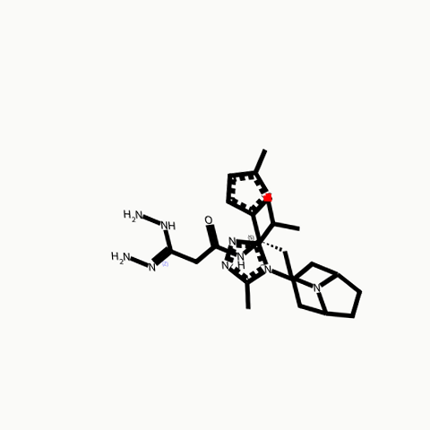 Cc1ccc([C@H](CCN2C3CCC2CC(n2c(C)nnc2C(C)C)C3)NC(=O)C/C(=N/N)NN)s1